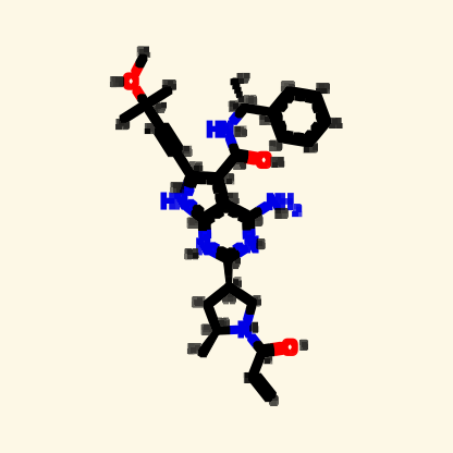 C=CC(=O)N1C[C@H](c2nc(N)c3c(C(=O)N[C@H](C)c4ccccc4)c(C#CC(C)(C)OC)[nH]c3n2)C[C@@H]1C